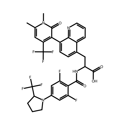 Cc1cc(C(F)(F)F)c(-c2ccc(CC(NC(=O)c3c(F)cc(N4CCCC4C(F)(F)F)cc3F)C(=O)O)c3cccnc23)c(=O)n1C